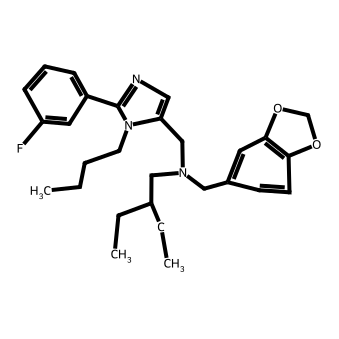 CCCCn1c(CN(Cc2ccc3c(c2)OCO3)CC(CC)CC)cnc1-c1cccc(F)c1